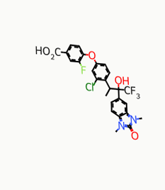 CC(c1ccc(Oc2ccc(C(=O)O)cc2F)cc1Cl)C(O)(c1ccc2c(c1)n(C)c(=O)n2C)C(F)(F)F